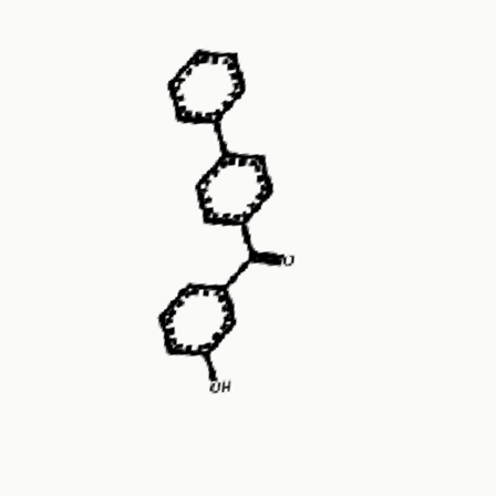 O=C(c1ccc(-c2ccccc2)cc1)c1cccc(O)c1